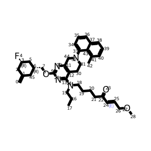 C=C1C[C@H](F)C[C@H](COc2nc3c(c(N(CCC)CCCCC(=O)/C=C/COC)n2)CCN(c2cccc4cccc(C)c24)C3)C1